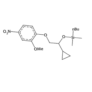 CCCC[Si](C)(C)OC(COc1ccc([N+](=O)[O-])cc1OC)C1CC1